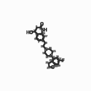 O=C1CC(O)c2ccc(CCN3CCN(c4cc(F)cc5c4CCO5)CC3)cc2N1